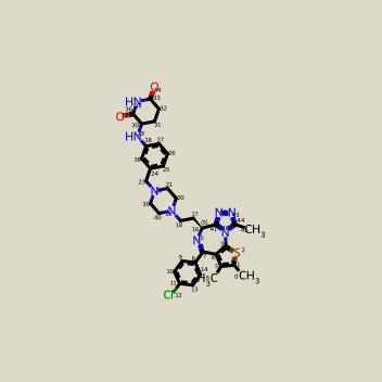 Cc1sc2c(c1C)C(c1ccc(Cl)cc1)=N[C@@H](CCN1CCN(Cc3cccc(NC4CCC(=O)NC4=O)c3)CC1)c1nnc(C)n1-2